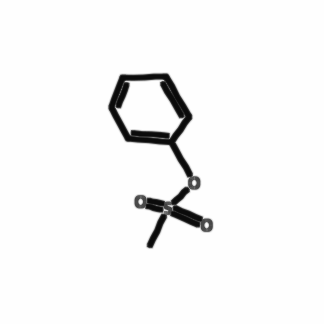 CS(=O)(=O)Oc1ccccc1